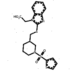 O=C(O)Cn1c(SCC2CCCN(S(=O)(=O)c3cccs3)C2)nc2ccccc21